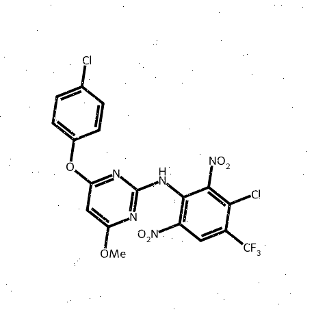 COc1cc(Oc2ccc(Cl)cc2)nc(Nc2c([N+](=O)[O-])cc(C(F)(F)F)c(Cl)c2[N+](=O)[O-])n1